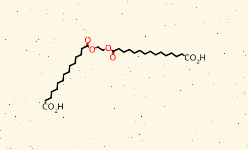 O=C(O)CCCCCCCCCCCCCC(=O)OCCOC(=O)CCCCCCCCCCCCCC(=O)O